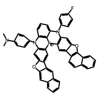 CN(C)c1ccc(N2c3cc4oc5cc6ccccc6cc5c4cc3P3(=O)c4cc5c(cc4N(c4ccc(F)cc4)c4cccc2c43)oc2c3ccccc3ccc52)cc1